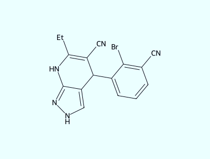 CCC1=C(C#N)C(c2cccc(C#N)c2Br)c2c[nH]nc2N1